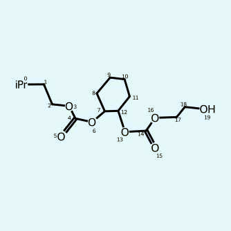 CC(C)CCOC(=O)OC1CCCCC1OC(=O)OCCO